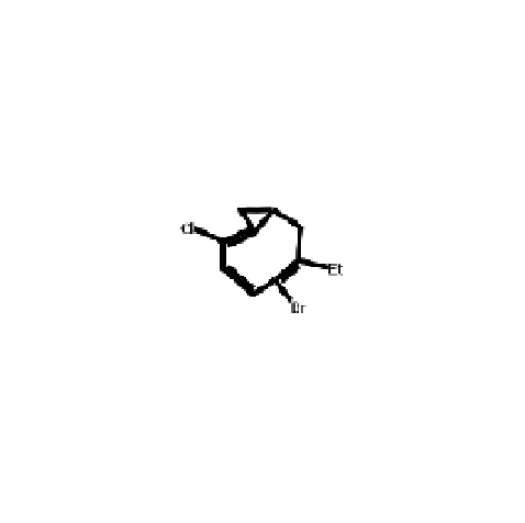 CC/C1=C(Br)/C=C\C(Cl)=C2/CC2C1